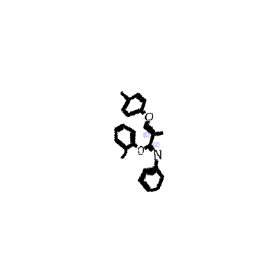 CC(=C\Oc1ccc(C)cc1)/C(=N/c1ccccc1)Oc1ccccc1C